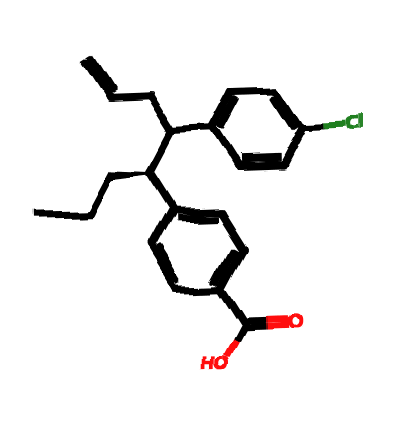 C=CCC(c1ccc(Cl)cc1)[C@H](CCC)c1ccc(C(=O)O)cc1